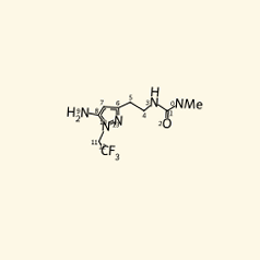 CNC(=O)NCCc1cc(N)n(CC(F)(F)F)n1